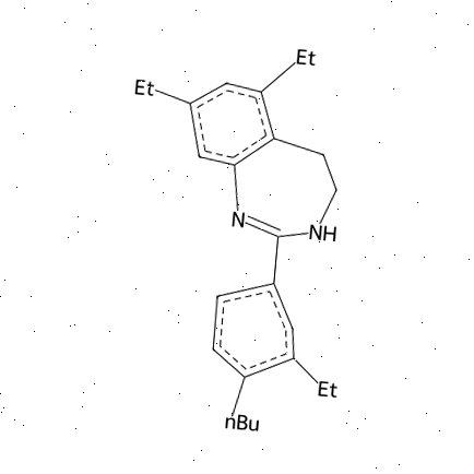 CCCCc1ccc(C2=Nc3cc(CC)cc(CC)c3CCN2)cc1CC